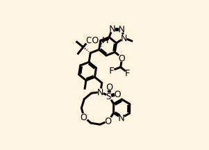 Cc1ccc([C@@H](c2cc(OC(F)F)c3c(c2)nnn3C)C(C)(C)C(=O)O)cc1CN1CCCOCCOc2ncccc2S1(=O)=O